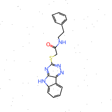 O=C(CSc1nnc2c(n1)[nH]c1ccccc12)NCCc1ccccc1